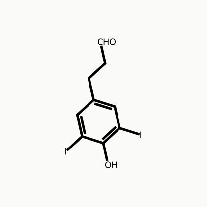 O=CCCc1cc(I)c(O)c(I)c1